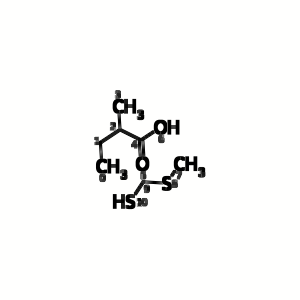 CCC(C)C(=O)O.CSCS